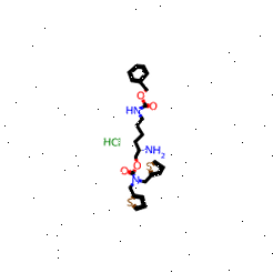 Cl.N[C@@H](CCCCNC(=O)OCc1ccccc1)COC(=O)N(Cc1cccs1)Cc1cccs1